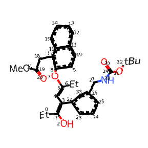 CC/C(O)=C(\C=C(/CC)Oc1ccc2ccccc2c1CC(=O)OC)c1cccc(CNC(=O)OC(C)(C)C)c1